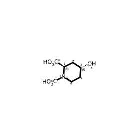 O=C(O)[C@H]1C[C@H](O)CCN1C(=O)O